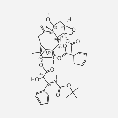 C=C1CC2=C(C)[C@@H](OC(=O)[C@H](O)[C@@H](NC(=O)OC(C)(C)C)c3ccccc3)C[C@@](O)([C@@H](OC(=O)c3ccccc3)[C@@H]3[C@]4(OC(C)=O)CO[C@@H]4C[C@H](OC)[C@@]13C)C2(C)C